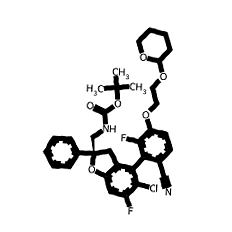 CC(C)(C)OC(=O)NC[C@@]1(c2ccccc2)Cc2c(cc(F)c(Cl)c2-c2c(C#N)ccc(OCCOC3CCCCO3)c2F)O1